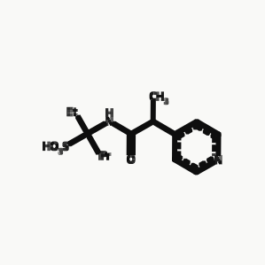 CCC(NC(=O)C(C)c1ccncc1)(C(C)C)S(=O)(=O)O